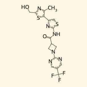 Cc1nc(CO)sc1-c1csc(NC(=O)C2CN(c3ncc(C(F)(F)F)cn3)C2)n1